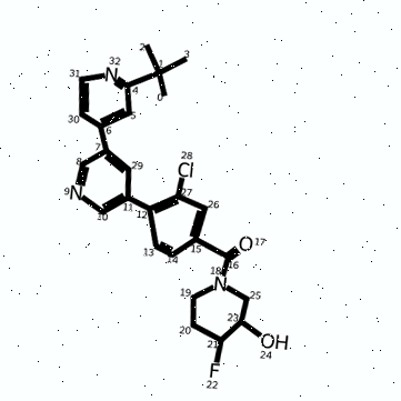 CC(C)(C)c1cc(-c2cncc(-c3ccc(C(=O)N4CCC(F)C(O)C4)cc3Cl)c2)ccn1